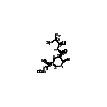 CC1CCN(C(=O)OC(C)(C)C)CC1C(=O)CC(=O)C(F)F